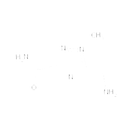 Cn1nc(C(N)=O)nc1CN